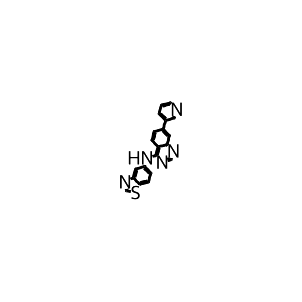 c1cncc(-c2ccc3c(Nc4ccc5scnc5c4)ncnc3c2)c1